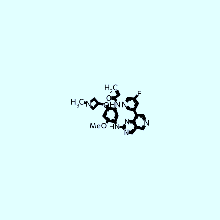 C=CC(=O)Nc1cc(Nc2ncc3cncc(-c4cncc(F)c4)c3n2)c(OC)cc1OC1CN(C)C1